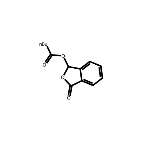 CCCCC(=O)OC1OC(=O)c2ccccc21